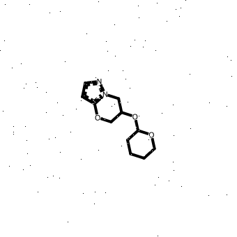 c1cc2n(n1)CC(OC1CCCCO1)CO2